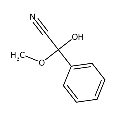 COC(O)(C#N)c1ccccc1